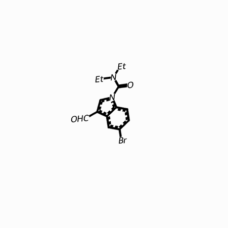 CCN(CC)C(=O)n1cc(C=O)c2cc(Br)ccc21